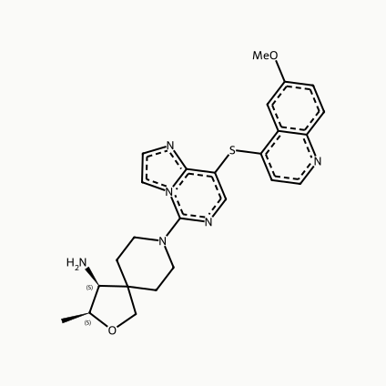 COc1ccc2nccc(Sc3cnc(N4CCC5(CC4)CO[C@@H](C)[C@H]5N)n4ccnc34)c2c1